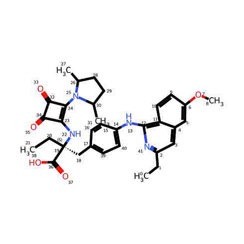 CCc1cc2cc(OC)ccc2c(Nc2ccc(C[C@](CC)(Nc3c(N4C(C)CCC4C)c(=O)c3=O)C(=O)O)cc2)n1